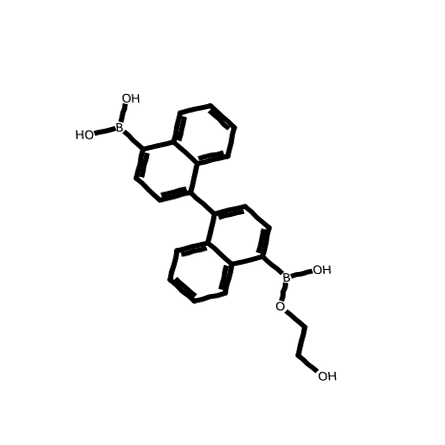 OCCOB(O)c1ccc(-c2ccc(B(O)O)c3ccccc23)c2ccccc12